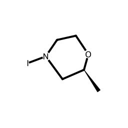 C[C@H]1CN(I)CCO1